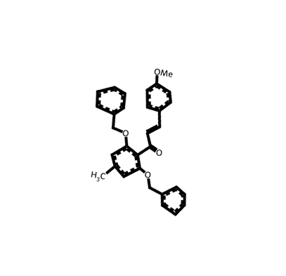 COc1ccc(C=CC(=O)c2c(OCc3ccccc3)cc(C)cc2OCc2ccccc2)cc1